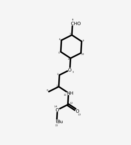 CC(COC1CCC(C=O)CC1)NC(=O)OC(C)(C)C